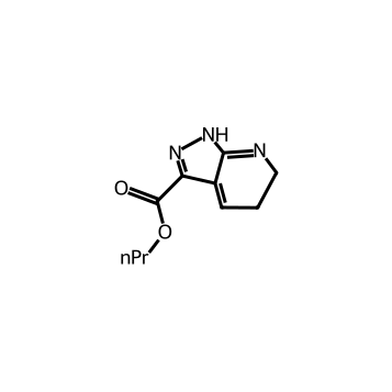 CCCOC(=O)c1n[nH]c2c1=CCCN=2